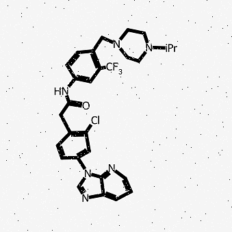 CC(C)N1CCN(Cc2ccc(NC(=O)Cc3ccc(-n4cnc5cccnc54)cc3Cl)cc2C(F)(F)F)CC1